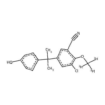 [2H]C([2H])([2H])Oc1c(Cl)cc(C(C)(C)c2ccc(O)cc2)cc1C#N